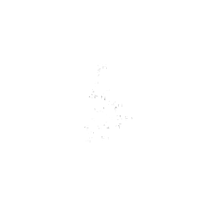 C#Cc1cnn(C(C)c2ccc(C(F)(F)F)cc2C(F)(F)F)c1